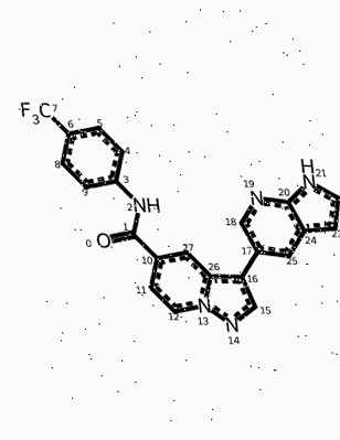 O=C(Nc1ccc(C(F)(F)F)cc1)c1ccn2ncc(-c3cnc4[nH]ccc4c3)c2c1